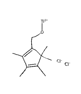 CC1=C(C)C(C)(C)C(C[O][Ti+2])=C1C.[Cl-].[Cl-]